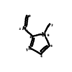 C=Nc1nccn1C